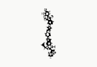 C[C@@H](Oc1cc2nn(C3CCN(CC4(F)CN(c5ccc6c(c5)C(=O)N(C5CCC(=O)NC5=O)C6=O)C4)CC3)cc2cc1NC(=O)c1cnn2cccnc12)C1CC1